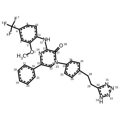 COc1cc(C(F)(F)F)ccc1Nc1nc(-c2ccccc2)cn(-c2ccc(CCc3nnn[nH]3)cc2)c1=O